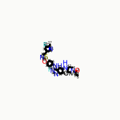 C=CC(=O)N1CCC(Nc2cc3c(Nc4ccc(Oc5ncc(-c6cnc(C)c(F)c6)s5)cc4F)ncnc3cc2OC)CC1